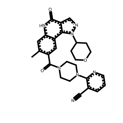 Cc1cc2[nH]c(=O)c3cnn(C4CCOCC4)c3c2cc1C(=O)N1CCN(c2ncccc2C#N)CC1